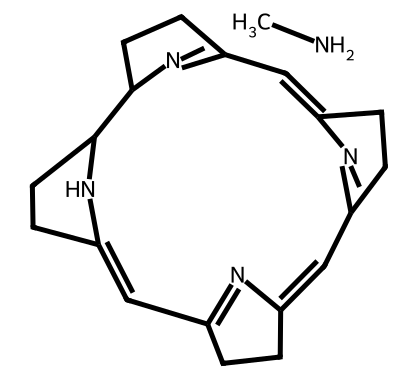 C1=C2/CCC(=N2)/C=C2/CCC(N2)C2CCC(=N2)/C=C2/CCC/1=N2.CN